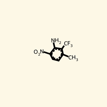 Cc1ccc([N+](=O)[O-])c(N)c1C(F)(F)F